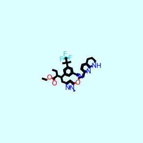 CCOC(=O)C(CC)C(Cc1cc(OCCc2ccc3c(n2)NCCC3)n(C)n1)c1cc(C#N)cc(C(C)(C)C(F)(F)F)c1